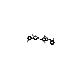 Fc1ccc(Cl)c(-c2ccc(OCC3C[C@@H]4CN(Cc5ccccc5F)C[C@@H]4C3)nn2)c1